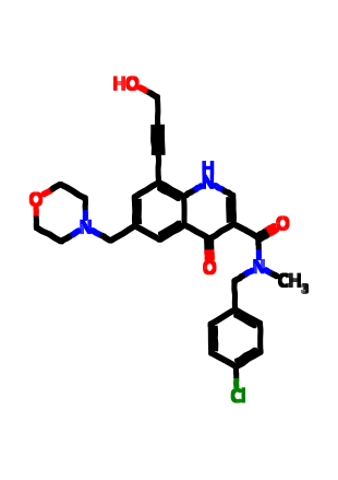 CN(Cc1ccc(Cl)cc1)C(=O)c1c[nH]c2c(C#CCO)cc(CN3CCOCC3)cc2c1=O